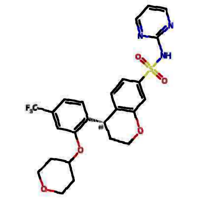 O=S(=O)(Nc1ncccn1)c1ccc2c(c1)OCC[C@@H]2c1ccc(C(F)(F)F)cc1OC1CCOCC1